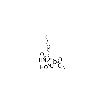 CCCCOCCC1C(=O)NC(C(=O)O)[C@@H]1COC(=O)OCC